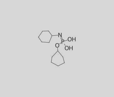 OP(O)(=NC1CCCCC1)OC1CCCCC1